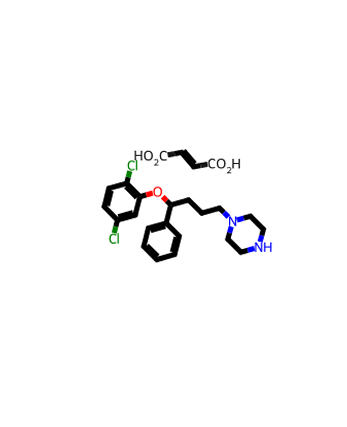 Clc1ccc(Cl)c(OC(CCCN2CCNCC2)c2ccccc2)c1.O=C(O)C=CC(=O)O